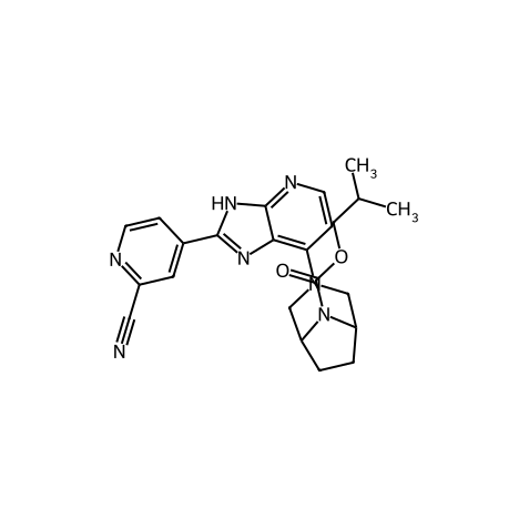 CC(C)COC(=O)N1C2CCC1CN(c1ccnc3[nH]c(-c4ccnc(C#N)c4)nc13)C2